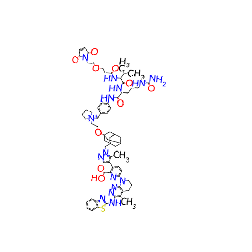 Cc1c(Nc2nc3ccccc3s2)nnc2c1CCCN2c1ccc(-c2cnn(CC34CC5CC(C3)CC(OCC[N+]3(Cc6ccc(NC(=O)[C@H](CCCNC(N)=O)NC(=O)[C@@H](NC(=O)CCOCCN7C(=O)C=CC7=O)C(C)C)cc6)CCCC3)(C5)C4)c2C)c(C(=O)O)n1